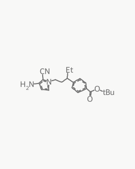 CCC(CCn1ccc(N)c1C#N)c1ccc(C(=O)OC(C)(C)C)cc1